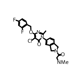 CNCC(=O)N1Cc2ccc(-n3c(C)nc(OCc4ccc(F)cc4F)c(Cl)c3=O)cc2C1